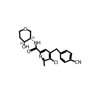 Cc1nc(C(=O)N[C@H]2COCC[C@@H]2O)cc(Cc2ccc(C#N)cc2)c1Cl